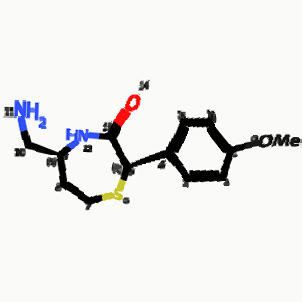 COc1ccc([C@H]2SCC[C@@H](CN)NC2=O)cc1